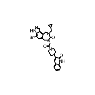 O=C(C[C@@H]1Cc2cc(Br)c3[nH]ncc3c2CN(CC2CC2)C1=O)N1CCC(c2cc3ccccc3[nH]c2=O)CC1